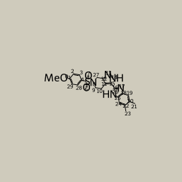 COc1ccc(S(=O)(=O)N2CCc3c(n[nH]c3-c3nc4cc(C)c(C)cc4[nH]3)C2)cc1